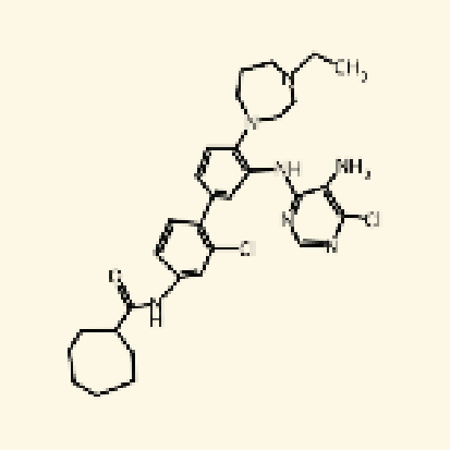 CCN1CCCN(c2ccc(-c3ccc(NC(=O)C4CCCCCC4)cc3Cl)cc2Nc2ncnc(Cl)c2N)CC1